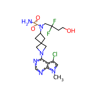 Cn1cc(Cl)c2c(N3CC4(CC(N(CC(F)(F)CCO)S(N)(=O)=O)C4)C3)ncnc21